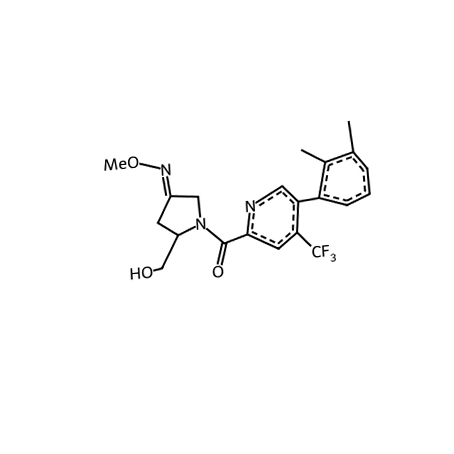 CO/N=C1\CC(CO)N(C(=O)c2cc(C(F)(F)F)c(-c3cccc(C)c3C)cn2)C1